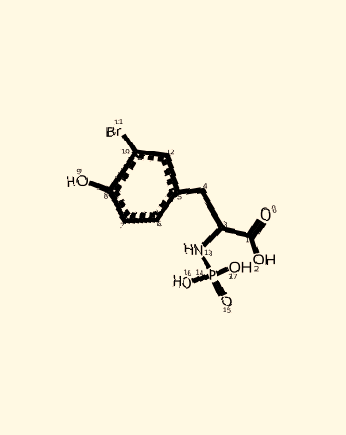 O=C(O)C(Cc1ccc(O)c(Br)c1)NP(=O)(O)O